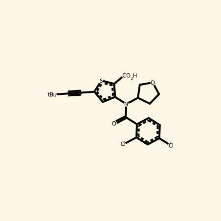 CC(C)(C)C#Cc1cc(N(C(=O)c2ccc(Cl)cc2Cl)C2CCOC2)c(C(=O)O)s1